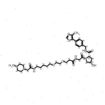 Cc1ncsc1-c1ccc(CNC(=O)[C@@H]2C[C@@H](O)CN2C(=O)CNC(=O)CCOCCOCCCCCNC(=O)CN2CCN(C)CC2)cc1